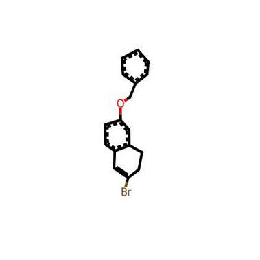 BrC1=Cc2ccc(OCc3ccccc3)cc2CC1